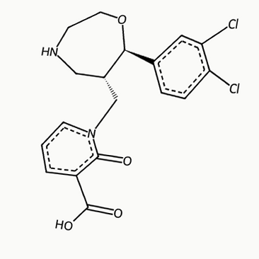 O=C(O)c1cccn(C[C@@H]2CNCCO[C@H]2c2ccc(Cl)c(Cl)c2)c1=O